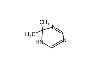 CC1(C)N=CN=CN1